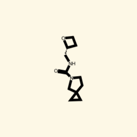 O=C(NC[C@H]1CCO1)N1CCC2(CC2)C1